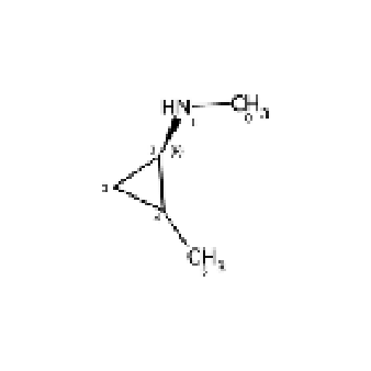 CN[C@@H]1CC1C